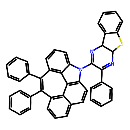 c1ccc(C2=NC3Sc4ccccc4C3N=C2n2c3cccc4c3c3c5c(cccc5ccc32)C(c2ccccc2)=C4c2ccccc2)cc1